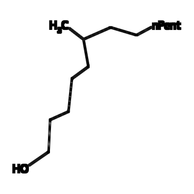 CCCCCCCC(C)CCCCCO